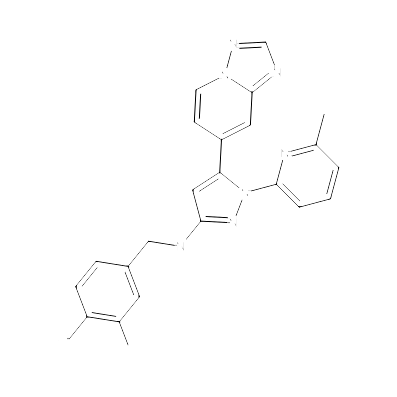 Cc1cccc(-n2nc(NCc3ccc(Cl)c(Cl)c3)cc2-c2ccn3ncnc3c2)n1